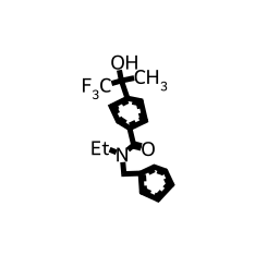 CCN(Cc1ccccc1)C(=O)c1ccc(C(C)(O)C(F)(F)F)cc1